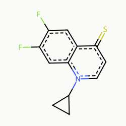 Fc1cc2c(=S)ccn(C3CC3)c2cc1F